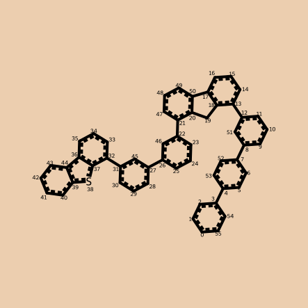 c1ccc(-c2ccc(-c3cccc(-c4cccc5c4Cc4c(-c6cccc(-c7cccc(-c8cccc9c8sc8ccccc89)c7)c6)cccc4-5)c3)cc2)cc1